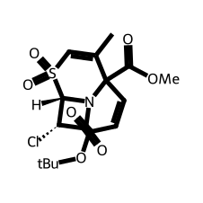 COC(=O)C1(/C=C\C(=O)OC(C)(C)C)C(C)=CS(=O)(=O)[C@H]2[C@@H](Cl)C(=O)N21